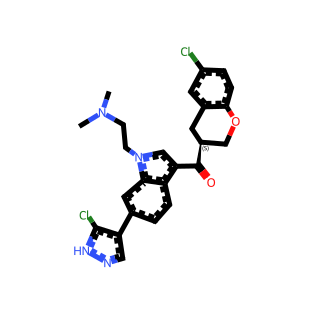 CN(C)CCn1cc(C(=O)[C@@H]2COc3ccc(Cl)cc3C2)c2ccc(-c3cn[nH]c3Cl)cc21